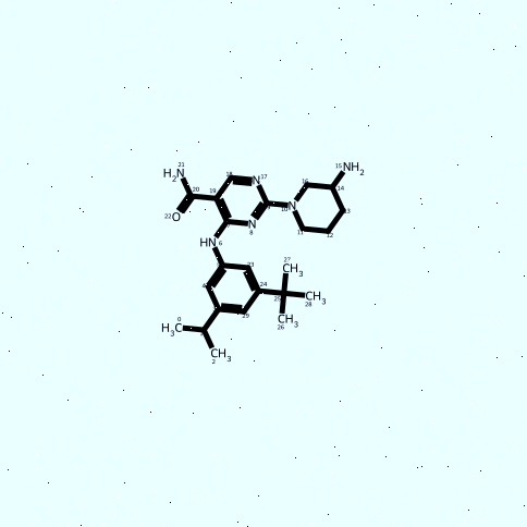 CC(C)c1cc(Nc2nc(N3CCCC(N)C3)ncc2C(N)=O)cc(C(C)(C)C)c1